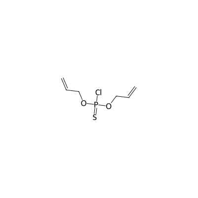 C=CCOP(=S)(Cl)OCC=C